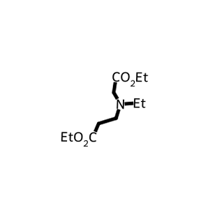 CCOC(=O)CCN(CC)CC(=O)OCC